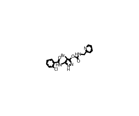 O=C(NCc1ccccn1)Oc1n[nH]c(NC(=O)c2ccccc2Cl)c1Br